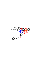 CCOC(=O)COc1ccc(OS(=O)(=O)c2ccccc2)cc1NC(=O)c1ccc(OCCCCc2ccccc2)cc1